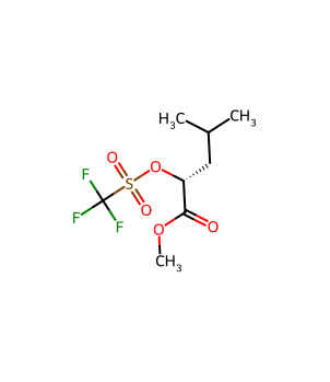 COC(=O)[C@@H](CC(C)C)OS(=O)(=O)C(F)(F)F